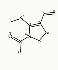 C=CC1=C(SC)N(C(C)=O)CC1